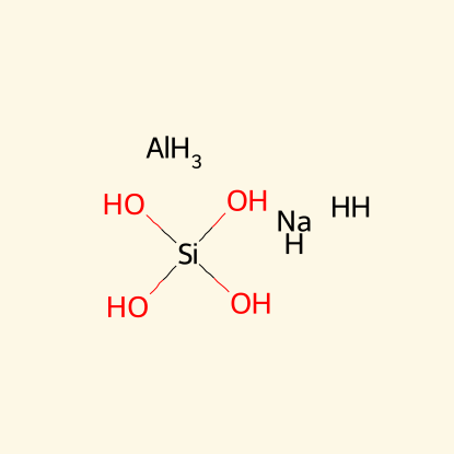 O[Si](O)(O)O.[AlH3].[HH].[NaH]